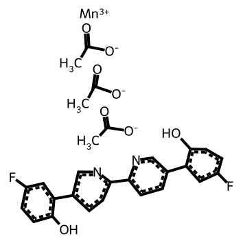 CC(=O)[O-].CC(=O)[O-].CC(=O)[O-].Oc1ccc(F)cc1-c1ccc(-c2ccc(-c3cc(F)ccc3O)cn2)nc1.[Mn+3]